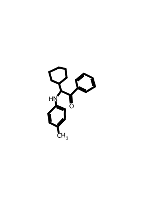 Cc1ccc(NC(C(=O)c2ccccc2)C2CCCCC2)cc1